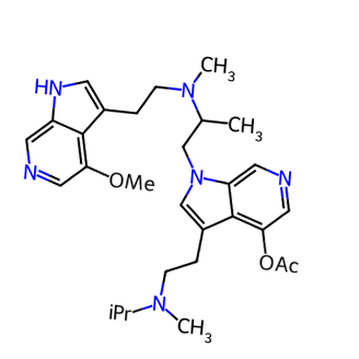 COc1cncc2[nH]cc(CCN(C)C(C)Cn3cc(CCN(C)C(C)C)c4c(OC(C)=O)cncc43)c12